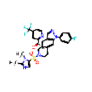 Cc1ncc(S(=O)(=O)N2CCC3=Cc4c(cnn4-c4ccc(F)cc4)C[C@]3(C(=O)c3cc(C(F)(F)F)ccn3)C2)n1C